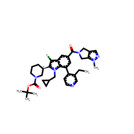 CCc1cnccc1-c1cc(C(=O)N2Cc3cnn(C)c3C2)cc2c(F)c([C@@H]3CCCN(C(=O)OC(C)(C)C)C3)n(CC3CC3)c12